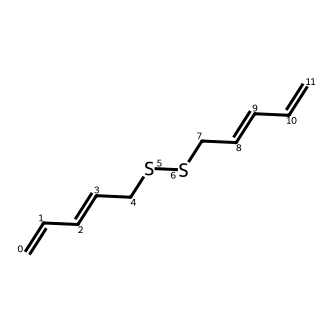 C=CC=CCSSCC=CC=C